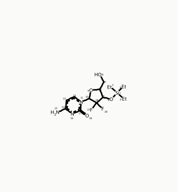 CC[Si](CC)(CC)OC1C(CO)OC(n2ccc(N)nc2=O)C1(F)F